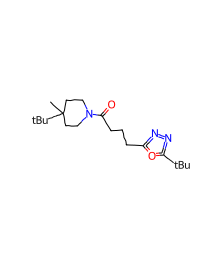 CC(C)(C)c1nnc(CCCC(=O)N2CCC(C)(C(C)(C)C)CC2)o1